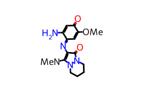 CNc1c(/N=C2\C=C(OC)C(=O)C=C2N)c(=O)n2n1CCCC2